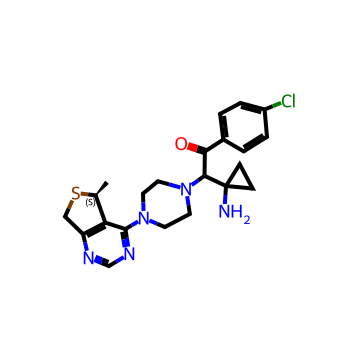 C[C@@H]1SCc2ncnc(N3CCN(C(C(=O)c4ccc(Cl)cc4)C4(N)CC4)CC3)c21